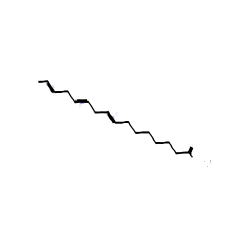 CC/C=C/C/C=C/C/C=C/CCCCCCC(=O)OC